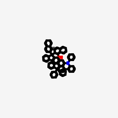 CCc1c(C2(c3ccc4ccccc4c3O)c3ccccc3-c3cc(-c4cccc(-c5ccccc5N(c5ccccc5)c5ccc6c(c5)C(c5ccccc5)(c5ccccc5)c5ccccc5-6)c4)ccc32)ccc2ccccc12